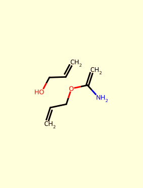 C=CCO.C=CCOC(=C)N